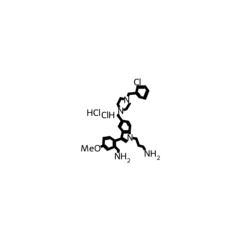 COc1ccc(-c2cn(CCCN)c3ccc(CN4CCN(Cc5ccccc5Cl)CC4)cc23)c(CN)c1.Cl.Cl